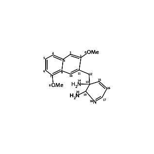 COc1cc2cccc(OC)c2cc1CC1(N)C=CC=NC1N